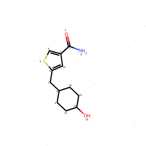 NC(=O)c1csc([CH]C2CCC(O)CC2)c1